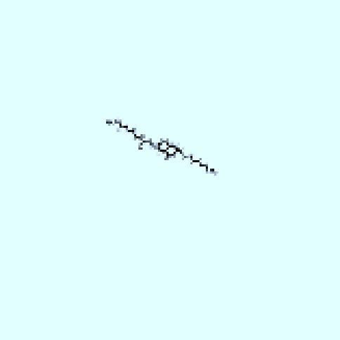 CCCCCCCOc1ccc2cc(/C=C/C(=O)OCCCCCCO)ccc2c1